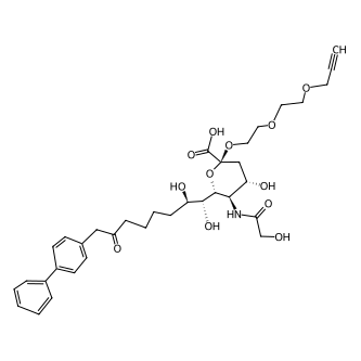 C#CCOCCOCCO[C@@]1(C(=O)O)C[C@H](O)[C@@H](NC(=O)CO)[C@H]([C@H](O)[C@H](O)CCCCC(=O)Cc2ccc(-c3ccccc3)cc2)O1